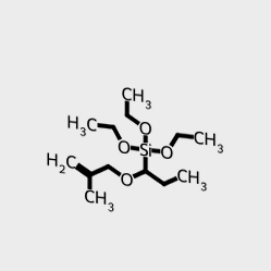 C=C(C)COC(CC)[Si](OCC)(OCC)OCC